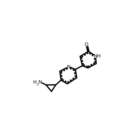 NC1CC1c1ccc(-c2cc[nH]c(=O)c2)nc1